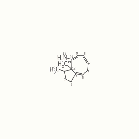 CC1CC/C2=C/C/C=C\C=C(\N)C21C